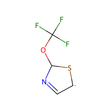 FC(F)(F)OC1N=C[CH]S1